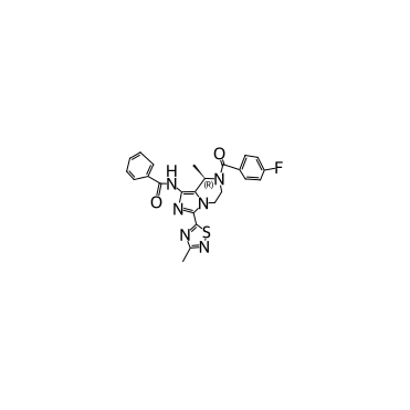 Cc1nsc(-c2nc(NC(=O)c3ccccc3)c3n2CCN(C(=O)c2ccc(F)cc2)[C@@H]3C)n1